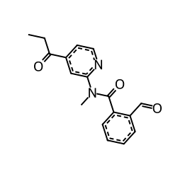 CCC(=O)c1ccnc(N(C)C(=O)c2ccccc2C=O)c1